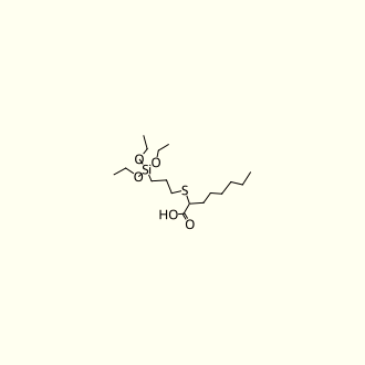 CCCCCCC(SCCC[Si](OCC)(OCC)OCC)C(=O)O